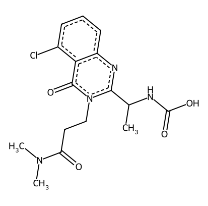 CC(NC(=O)O)c1nc2cccc(Cl)c2c(=O)n1CCC(=O)N(C)C